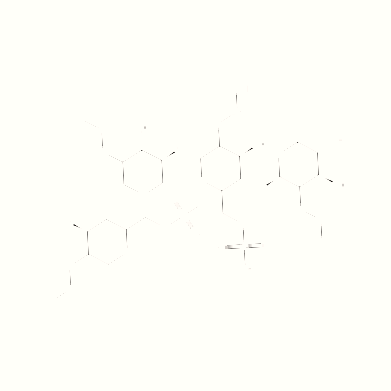 O=S(=O)(O)OCC1OCC(OOO)[C@@H](O)[C@@H]1O[C@H]1OC[C@H](O[C@H]2OC(COS(=O)(=O)O)[C@@H](O[C@H]3OC[C@H](O)[C@@H](O)C3OOO)[C@H](O)C2OOO)[C@@H](O)C1OOO